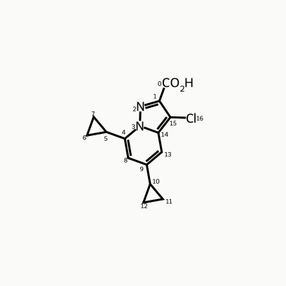 O=C(O)c1nn2c(C3CC3)cc(C3CC3)cc2c1Cl